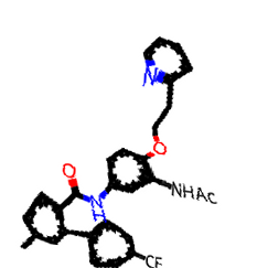 CC(=O)Nc1cc(NC(=O)c2ccc(C)cc2-c2ccc(C(F)(F)F)cc2)ccc1OCCc1ccccn1